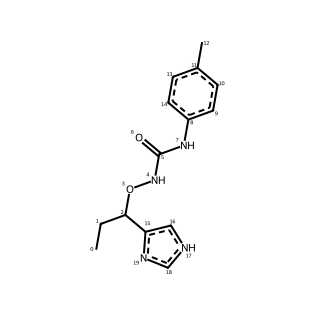 CCC(ONC(=O)Nc1ccc(C)cc1)c1c[nH]cn1